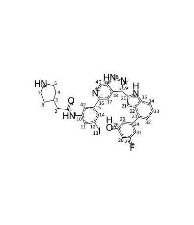 O=C(CC1CCNCC1)Nc1cc(I)cc(-c2cc3c(-c4cc5c(-c6cc(O)cc(F)c6)cccc5[nH]4)n[nH]c3cn2)c1